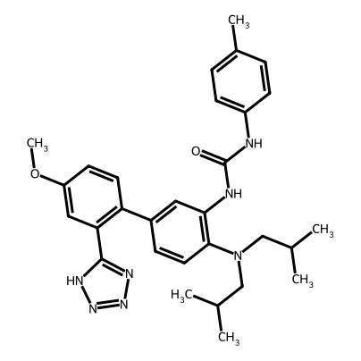 COc1ccc(-c2ccc(N(CC(C)C)CC(C)C)c(NC(=O)Nc3ccc(C)cc3)c2)c(-c2nnn[nH]2)c1